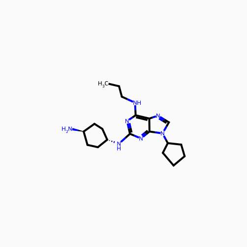 CCCNc1nc(N[C@H]2CC[C@H](N)CC2)nc2c1ncn2C1CCCC1